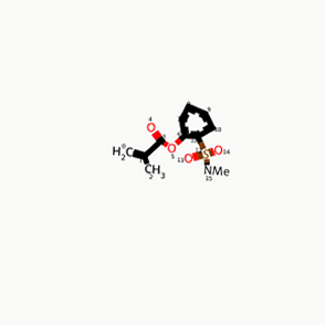 C=C(C)C(=O)Oc1ccccc1S(=O)(=O)NC